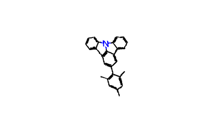 Cc1cc(C)c(-c2cc3c4ccccc4n4c5ccccc5c(c2)c34)c(C)c1